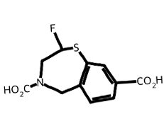 O=C(O)c1ccc2c(c1)SC(F)CN(C(=O)O)C2